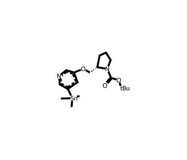 CC(C)(C)OC(=O)N1CCC[C@H]1COc1cnc[c]([Sn]([CH3])([CH3])[CH3])c1